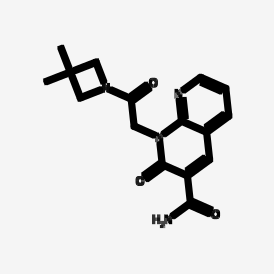 CC1(C)CN(C(=O)Cn2c(=O)c(C(N)=O)cc3cccnc32)C1